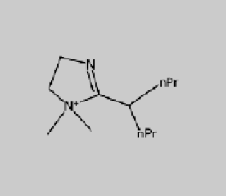 CCCC(CCC)C1=NCC[N+]1(C)C